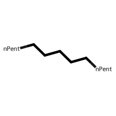 [CH2]CCCCCCCCCCC[CH]CC